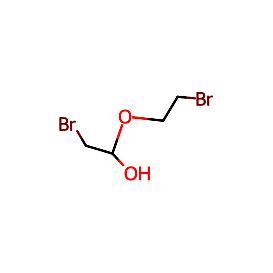 OC(CBr)OCCBr